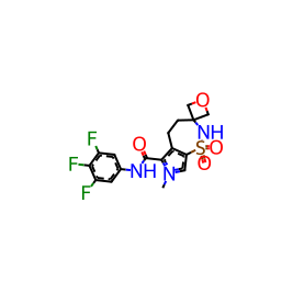 Cn1cc2c(c1C(=O)Nc1cc(F)c(F)c(F)c1)CCC1(COC1)NS2(=O)=O